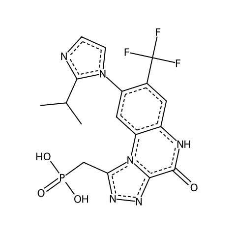 CC(C)c1nccn1-c1cc2c(cc1C(F)(F)F)[nH]c(=O)c1nnc(CP(=O)(O)O)n12